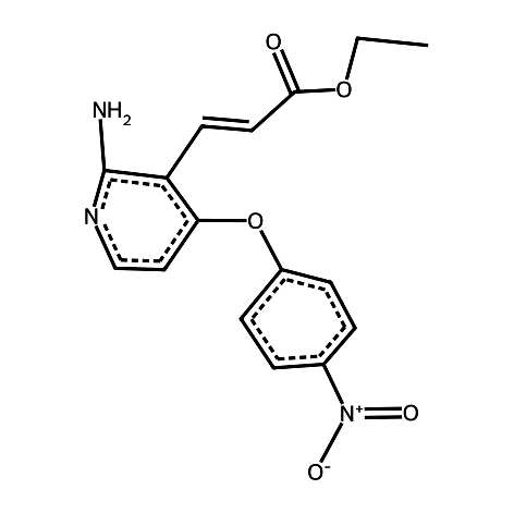 CCOC(=O)C=Cc1c(Oc2ccc([N+](=O)[O-])cc2)ccnc1N